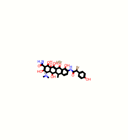 Br.CC1c2ccc(NC(=O)C(Br)c3ccc(O)cc3)c(O)c2C(=O)C2=C(O)C3(O)C(=O)C(C(N)=O)=C(O)[C@@H](N(C)C)C3C(O)C21